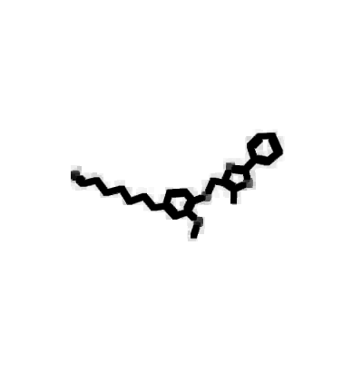 COc1cc(CCCCCCC=O)ccc1OCc1nc(-c2ccccc2)oc1C